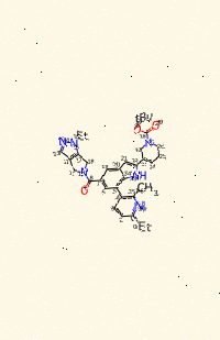 CCc1ccc(-c2cc(C(=O)N3Cc4cnn(CC)c4C3)cc3cc(C4=CCCN(C(=O)OC(C)(C)C)C4)[nH]c23)c(C)n1